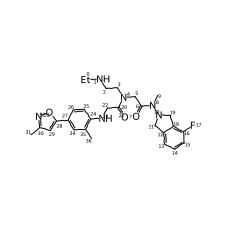 CCNCCN(CC(=O)N(C)N1Cc2cccc(F)c2C1)C(=O)CNc1ccc(-c2cc(C)no2)cc1C